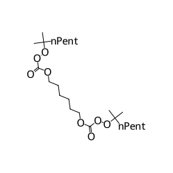 CCCCCC(C)(C)OOC(=O)OCCCCCCOC(=O)OOC(C)(C)CCCCC